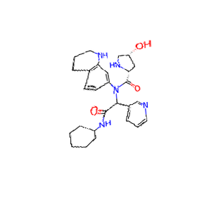 O=C(NC1CCCCC1)C(c1cccnc1)N(C(=O)[C@H]1C[C@@H](O)CN1)c1ccc2c(c1)NCCC2